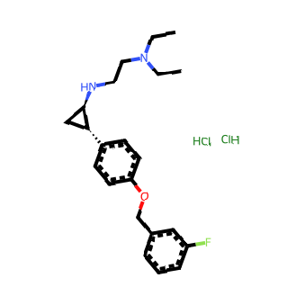 CCN(CC)CCN[C@@H]1C[C@H]1c1ccc(OCc2cccc(F)c2)cc1.Cl.Cl